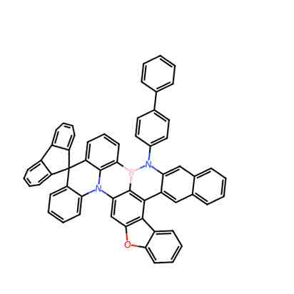 c1ccc(-c2ccc(N3B4c5cccc6c5N(c5ccccc5C65c6ccccc6-c6ccccc65)c5cc6oc7ccccc7c6c(c54)-c4cc5ccccc5cc43)cc2)cc1